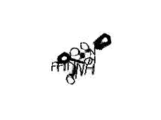 O=C1NC(=O)[C@@]2(C[C@@H](C(=O)Nc3ccccc3)Oc3ccc(F)cc32)N1